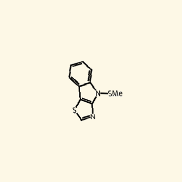 CSn1c2ccccc2c2scnc21